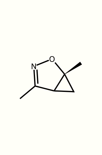 CC1=NO[C@]2(C)CC12